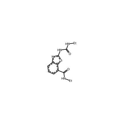 CCNC(=O)Nc1nc2c[c]cc(C(=O)NCC)c2s1